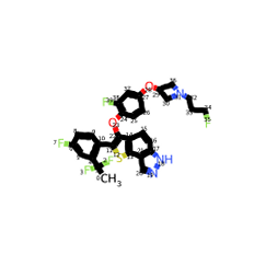 CC(F)(F)c1cc(F)ccc1-c1sc2c(ccc3[nH]ncc32)c1Oc1ccc(OC2CN(CCCF)C2)cc1F